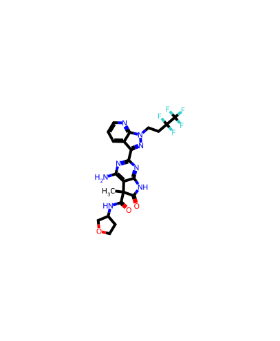 CC1(C(=O)NC2CCOC2)C(=O)Nc2nc(-c3nn(CCC(F)(F)C(F)(F)F)c4ncccc34)nc(N)c21